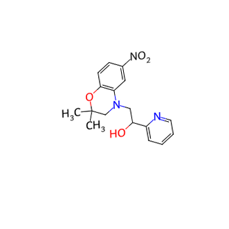 CC1(C)CN(CC(O)c2ccccn2)c2cc([N+](=O)[O-])ccc2O1